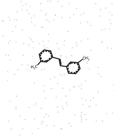 Cc1cccc(C=Cc2cccc(C)c2)c1